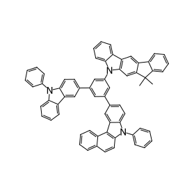 CC1(C)c2ccccc2-c2cc3c4ccccc4n(-c4cc(-c5ccc6c(c5)c5ccccc5n6-c5ccccc5)cc(-c5ccc6c(c5)c5c7ccccc7ccc5n6-c5ccccc5)c4)c3cc21